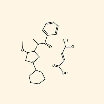 COC1CN(C2CCCCC2)CC1N(C)C(=O)c1ccccc1.O=C(O)C=CC(=O)O